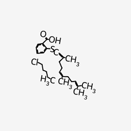 CC(C)=CCCC(C)=CCCC(C)=CCSc1ccccc1C(=O)O.CCCCCCl